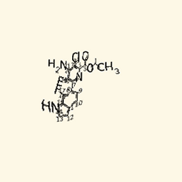 CCOC(=O)c1nc(-c2ccc3cc[nH]c3c2F)c(F)c(N)c1Cl